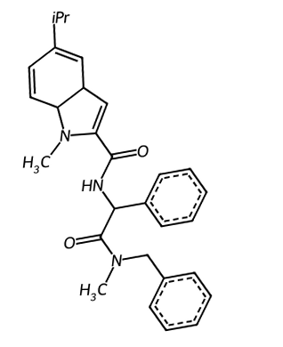 CC(C)C1=CC2C=C(C(=O)NC(C(=O)N(C)Cc3ccccc3)c3ccccc3)N(C)C2C=C1